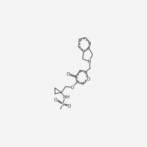 CS(=O)(=O)NC1(COc2coc(CN3Cc4ccccc4C3)cc2=O)CC1